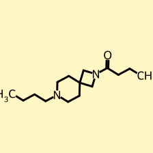 CCCCN1CCC2(CC1)CN(C(=O)CCC)C2